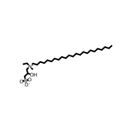 CCCCCCCCCCCCCCCCCCCCCCC[N+](C)(CC)CC(O)CS(=O)(=O)[O-]